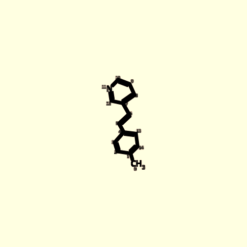 Cc1ccc(C=Cc2cccnc2)cc1